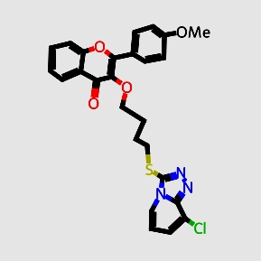 COc1ccc(-c2oc3ccccc3c(=O)c2OCCCCSc2nnc3c(Cl)cccn23)cc1